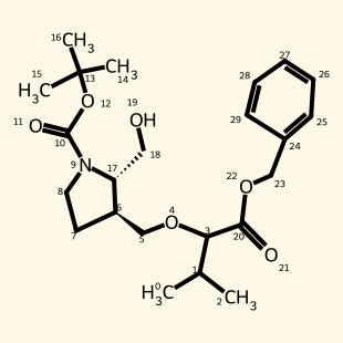 CC(C)C(OC[C@H]1CCN(C(=O)OC(C)(C)C)[C@@H]1CO)C(=O)OCc1ccccc1